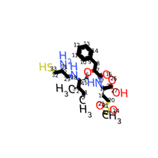 CC[C@H](C)[C@@H](COC(Cc1ccccc1)C(=O)N[C@@H](CCS(C)(=O)=O)C(=O)O)NC[C@@H](N)CS